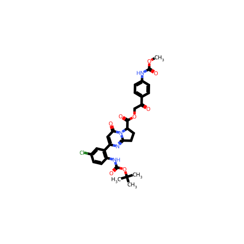 COC(=O)Nc1ccc(C(=O)COC(=O)C2CCc3nc(-c4cc(Cl)ccc4NC(=O)OC(C)(C)C)cc(=O)n32)cc1